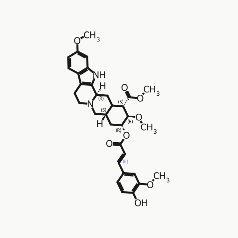 COC(=O)[C@H]1C2C[C@@H]3c4[nH]c5cc(OC)ccc5c4CCN3C[C@H]2C[C@@H](OC(=O)/C=C/c2ccc(O)c(OC)c2)[C@@H]1OC